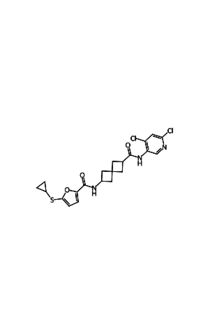 O=C(NC1CC2(C1)CC(C(=O)Nc1cnc(Cl)cc1Cl)C2)c1ccc(SC2CC2)o1